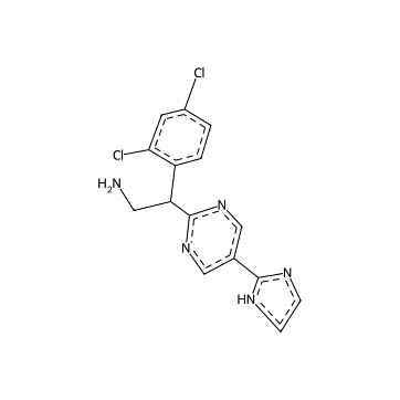 NCC(c1ncc(-c2ncc[nH]2)cn1)c1ccc(Cl)cc1Cl